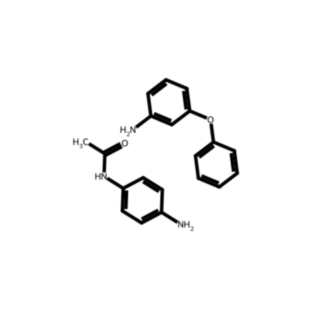 CC(=O)Nc1ccc(N)cc1.Nc1cccc(Oc2ccccc2)c1